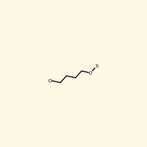 ClCCCC[O][Ti]